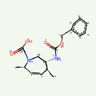 C[C@@H]1C=C[C@H](C)[C@@H](NC(=O)OCc2ccccc2)CN1C(=O)O